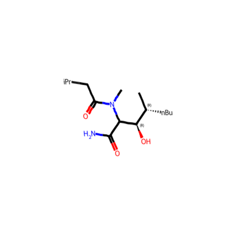 CCCC[C@@H](C)[C@@H](O)C(C(N)=O)N(C)C(=O)CC(C)C